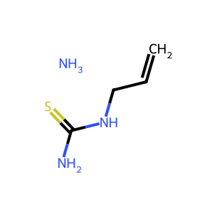 C=CCNC(N)=S.N